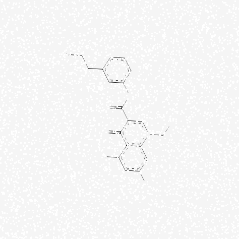 CCn1cc(C(=O)Oc2cccc(CCN)c2)c(=O)c2c(N)cc(F)cc21